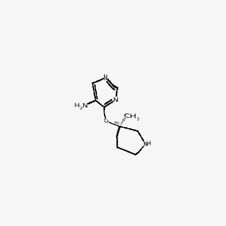 C[C@@]1(Oc2ncncc2N)CCCNC1